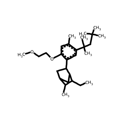 CCC1C(C)C2CC(c3cc(C(C)(C)CC(C)(C)C)c(C)cc3OCCOC)C1C2